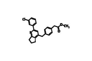 COC(=O)Cc1ccc(Cc2cc(-c3cccc(Cl)c3)nc3c2CCC3)cc1